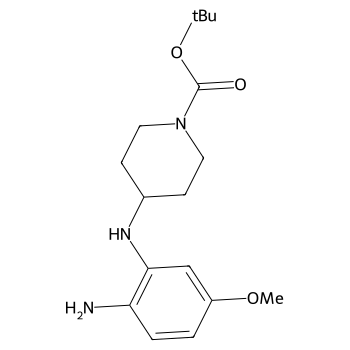 COc1ccc(N)c(NC2CCN(C(=O)OC(C)(C)C)CC2)c1